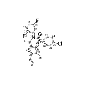 C=Cc1sc(C(C)N(c2cc(F)ccc2F)S(=O)(=O)c2ccc(Cl)cc2)nc1C